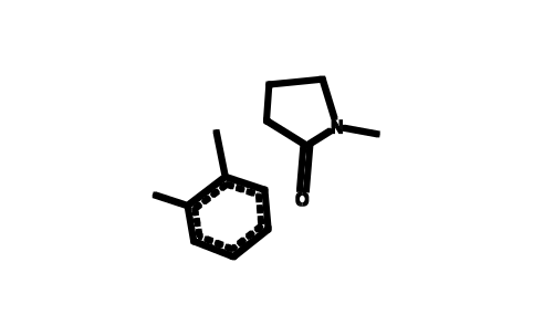 CN1CCCC1=O.Cc1ccccc1C